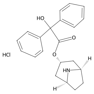 Cl.O=C(O[C@@H]1C[C@H]2CC[C@@H](C1)N2)C(O)(c1ccccc1)c1ccccc1